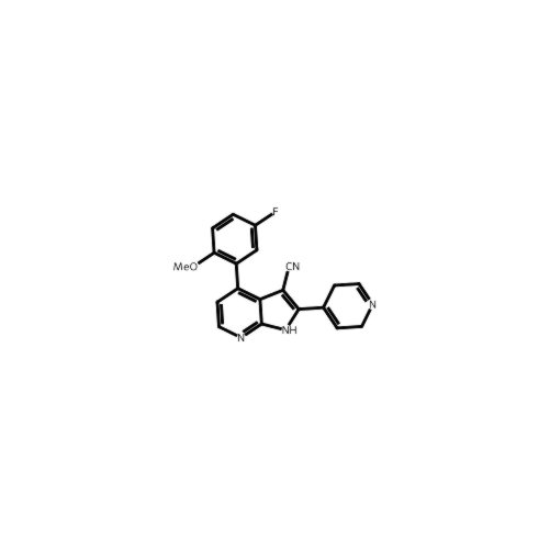 COc1ccc(F)cc1-c1ccnc2[nH]c(C3=CCN=CC3)c(C#N)c12